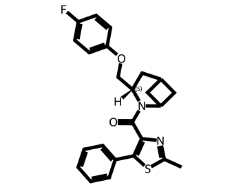 Cc1nc(C(=O)N2C3CC(C3)C[C@H]2COc2ccc(F)cc2)c(-c2ccccc2)s1